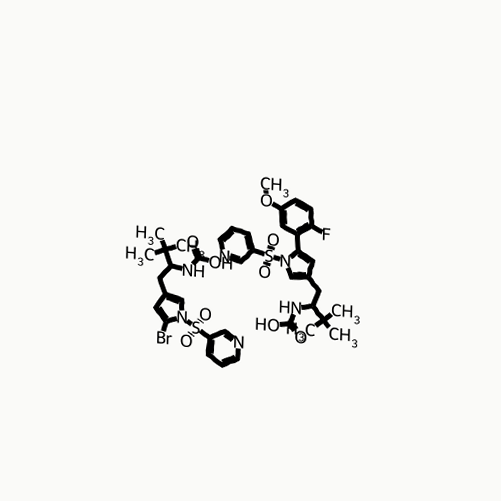 CC(C)(C)C(Cc1cc(Br)n(S(=O)(=O)c2cccnc2)c1)NC(=O)O.COc1ccc(F)c(-c2cc(CC(NC(=O)O)C(C)(C)C)cn2S(=O)(=O)c2cccnc2)c1